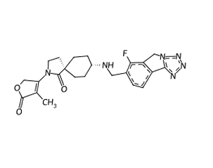 CC1=C(N2CC[C@]3(CC[C@@H](NCc4ccc5c(c4F)Cn4nnnc4-5)CC3)C2=O)COC1=O